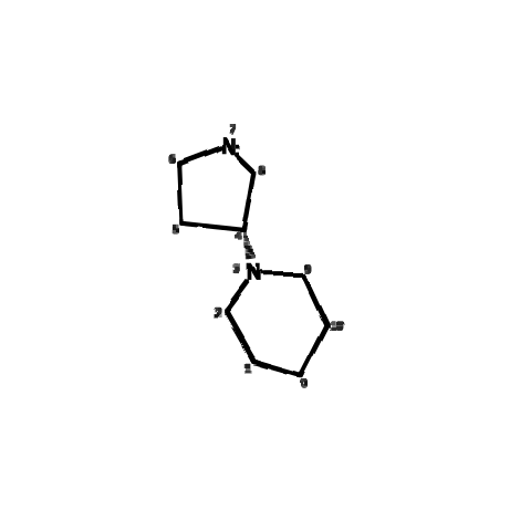 C1CCN([C@@H]2CC[N]C2)CC1